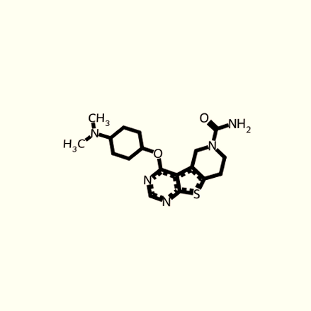 CN(C)C1CCC(Oc2ncnc3sc4c(c23)CN(C(N)=O)CC4)CC1